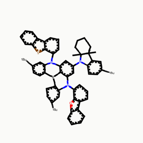 CC(C)(C)c1ccc2c(c1)N(c1cccc3c1oc1ccccc13)c1cc(N3c4ccc(C(C)(C)C)cc4C4(C)CCCCC34C)cc3c1B2c1ccc(C(C)(C)C)cc1N3c1cccc2c1sc1ccccc12